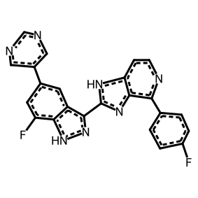 Fc1ccc(-c2nccc3[nH]c(-c4n[nH]c5c(F)cc(-c6cncnc6)cc45)nc23)cc1